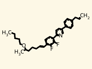 C=CCc1ccc(-c2ccc(-c3ccc(C=CCCCC(C)OCCCCC)c(F)c3F)nc2)cc1